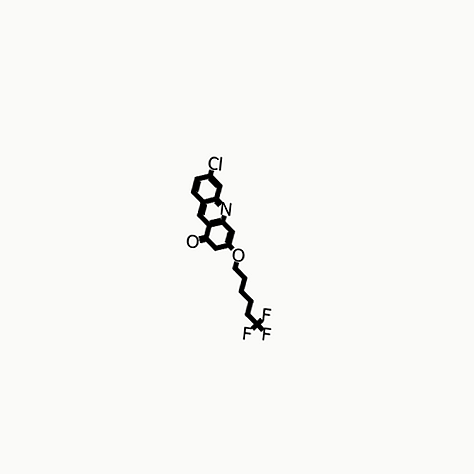 O=C1CC(OCCCCCC(F)(F)F)=Cc2nc3cc(Cl)ccc3cc21